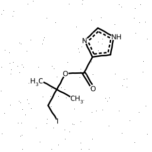 CC(C)(CI)OC(=O)c1c[nH]cn1